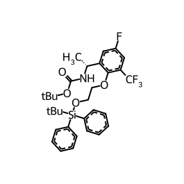 C[C@@H](NC(=O)OC(C)(C)C)c1cc(F)cc(C(F)(F)F)c1OCCO[Si](c1ccccc1)(c1ccccc1)C(C)(C)C